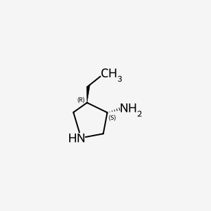 CC[C@@H]1CNC[C@H]1N